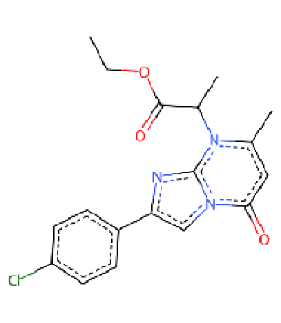 CCOC(=O)C(C)n1c(C)cc(=O)n2cc(-c3ccc(Cl)cc3)nc12